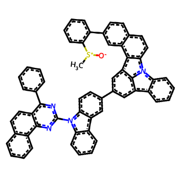 C[S+]([O-])c1ccccc1-c1ccc2ccc3c(c2c1)c1cc(-c2ccc4c(c2)c2ccccc2n4-c2nc(-c4ccccc4)c4ccc5ccccc5c4n2)cc2c4ccccc4n3c21